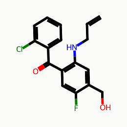 C=CCNc1cc(CO)c(F)cc1C(=O)c1ccccc1Cl